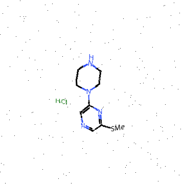 CSc1cncc(N2CCNCC2)n1.Cl